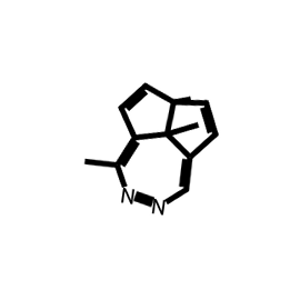 CC1=C2C=CC3(C)C=CC(=CN=N1)C23C